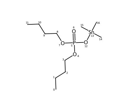 CCCCOP(=O)(OCCCC)[O][Sn]([CH3])([CH3])[CH3]